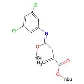 C=C(CC(=Nc1cc(Cl)cc(Cl)c1)OCCCC)C(=O)OCCCC